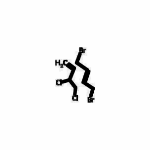 BrCC=CCBr.C=CC(Cl)CCl